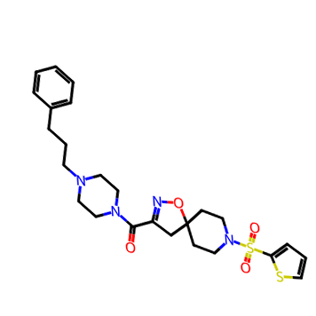 O=C(C1=NOC2(CCN(S(=O)(=O)c3cccs3)CC2)C1)N1CCN(CCCc2ccccc2)CC1